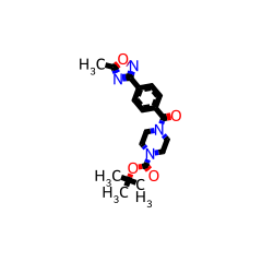 Cc1nc(-c2ccc(C(=O)N3CCN(C(=O)OC(C)(C)C)CC3)cc2)no1